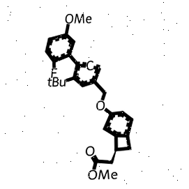 COC(=O)C[C@@H]1Cc2ccc(OCc3ccc(-c4cc(OC)ccc4F)c(C(C)(C)C)c3)cc21